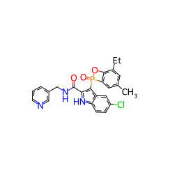 CCc1cc(C)cc2c1OP2(=O)c1c(C(=O)NCc2cccnc2)[nH]c2ccc(Cl)cc12